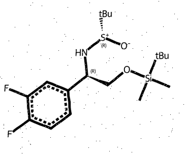 CC(C)(C)[S@+]([O-])N[C@@H](CO[Si](C)(C)C(C)(C)C)c1ccc(F)c(F)c1